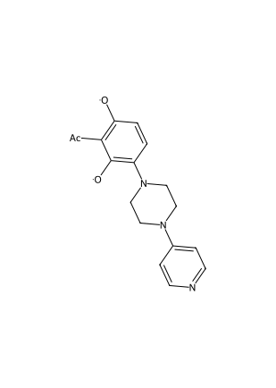 CC(=O)c1c([O])ccc(N2CCN(c3ccncc3)CC2)c1[O]